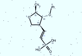 CC(C)O[C@H]1[C@H](C)OC[C@@H]1/C=C/P(=O)(O)O